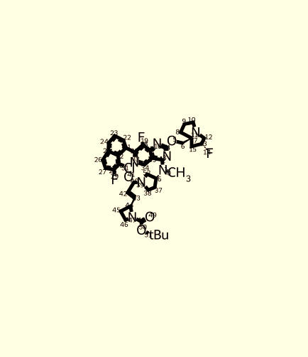 CN(c1nc(OC[C@@]23CCCN2C[C@H](F)C3)nc2c(F)c(-c3cccc4ccc(F)c(Cl)c34)ncc12)[C@@H]1CCN(C(=O)/C=C/[C@@H]2CCN2C(=O)OC(C)(C)C)C1